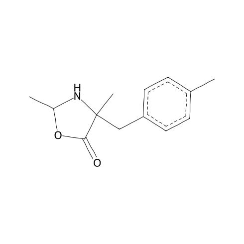 Cc1ccc(CC2(C)NC(C)OC2=O)cc1